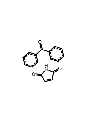 O=C(c1ccccc1)c1ccccc1.O=C1C=CC(=O)N1